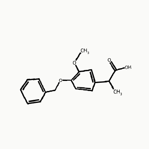 COc1cc(C(C)C(=O)O)ccc1OCc1ccccc1